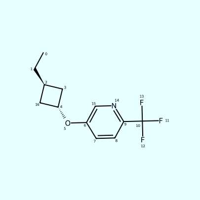 CC[C@H]1C[C@H](Oc2ccc(C(F)(F)F)nc2)C1